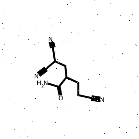 N#CCCC(CC(C#N)C#N)C(N)=O